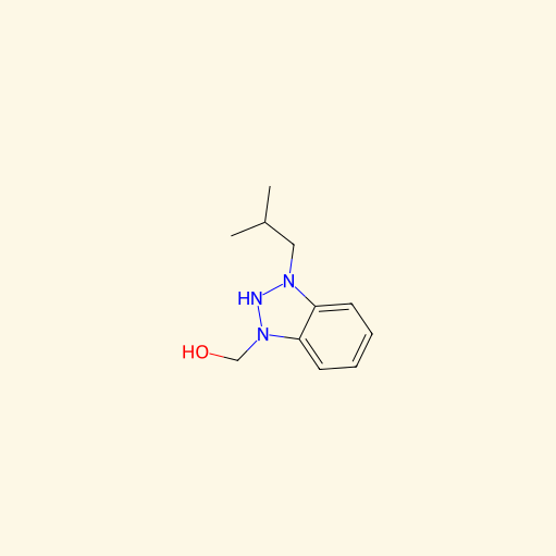 CC(C)CN1NN(CO)c2ccccc21